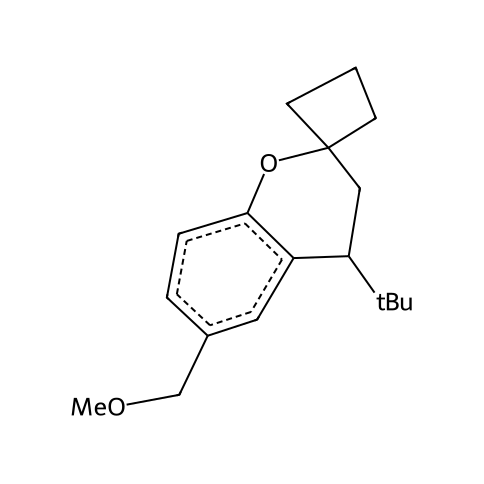 COCc1ccc2c(c1)C(C(C)(C)C)CC1(CCC1)O2